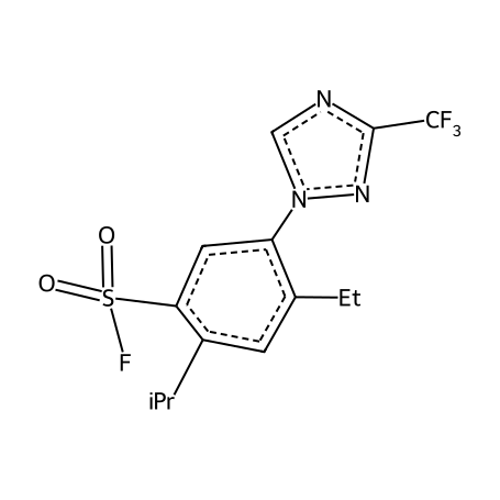 CCc1cc(C(C)C)c(S(=O)(=O)F)cc1-n1cnc(C(F)(F)F)n1